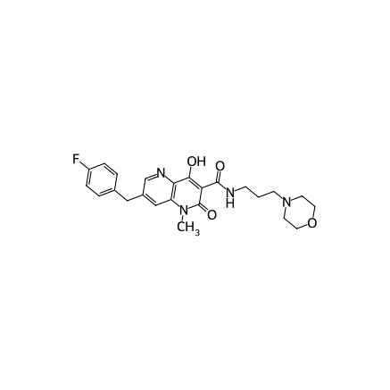 Cn1c(=O)c(C(=O)NCCCN2CCOCC2)c(O)c2ncc(Cc3ccc(F)cc3)cc21